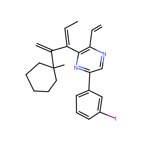 C=Cc1ncc(-c2cccc(I)c2)nc1/C(=C\C)C(=C)C1(C)CCCCC1